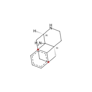 NC12CCCC[C@@]13CCN[C@@H]2Cc1ccccc13